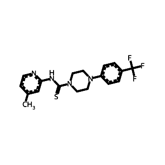 Cc1ccnc(NC(=S)N2CCN(c3ccc(C(F)(F)F)cc3)CC2)c1